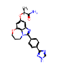 C[C@H](Oc1cc2c3c(c1)nc(-c1ccc(-c4nc[nH]n4)cc1)n3CCCO2)C(N)=O